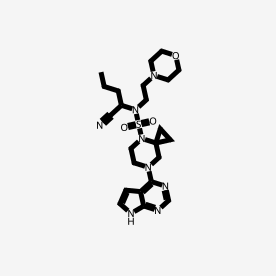 CCCC(C#N)N(CCN1CCOCC1)S(=O)(=O)N1CCN(c2ncnc3[nH]ccc23)CC12CC2